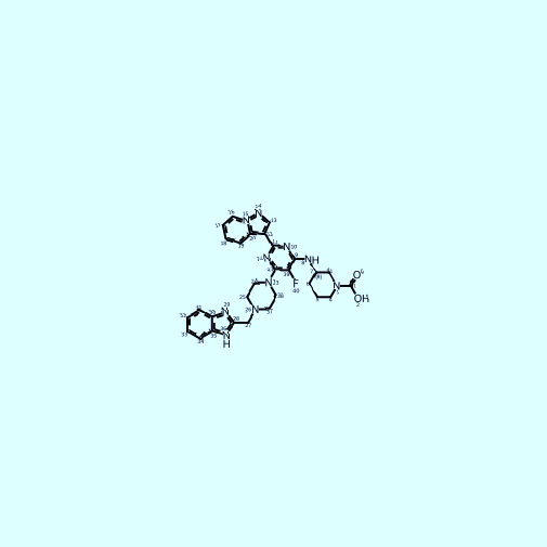 O=C(O)N1CCC[C@@H](Nc2nc(-c3cnn4ccccc34)nc(N3CCN(Cc4nc5ccccc5[nH]4)CC3)c2F)C1